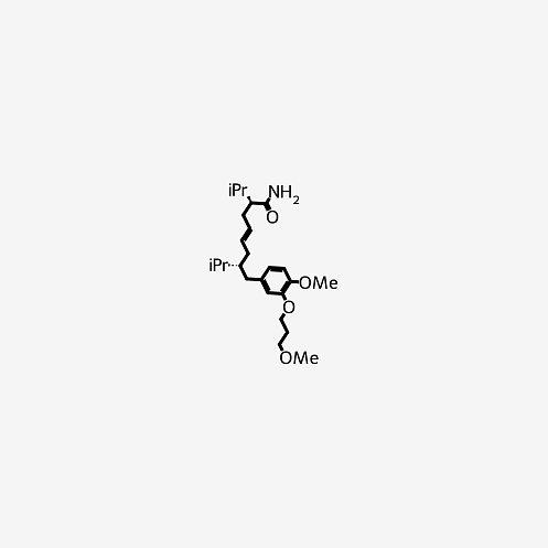 COCCCOc1cc(C[C@@H](C/C=C/C[C@H](C(N)=O)C(C)C)C(C)C)ccc1OC